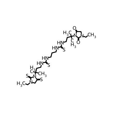 CCN1CC(=O)N(C(C)(C)CCNC(=S)NCCCNC(=S)NCCC(C)(C)N2C(=S)CN(CC)C2=S)C1=O